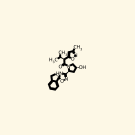 Cc1cc([C@@H](C(=O)N2C[C@H](O)C[C@H]2C2=NO[C@]3(CCc4ccccc43)N2)C(C)C)on1